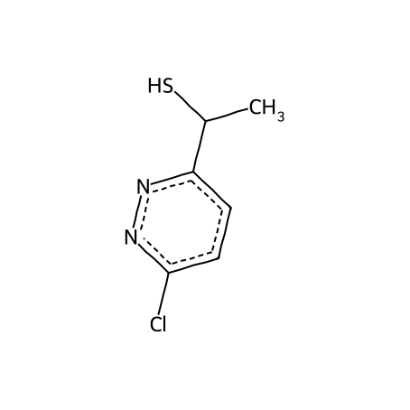 CC(S)c1ccc(Cl)nn1